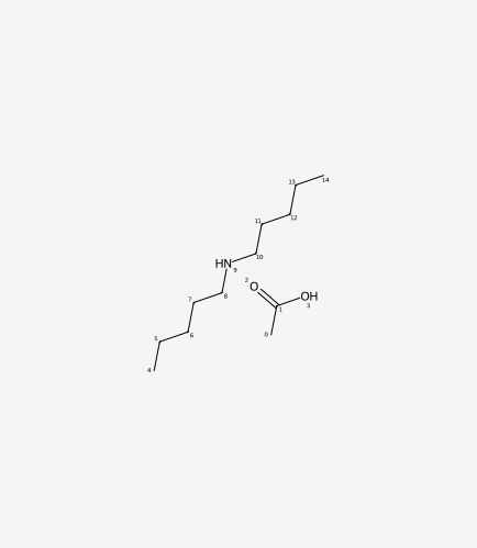 CC(=O)O.CCCCCNCCCCC